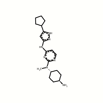 CN(c1nccc(Nc2cc(C3CCCC3)[nH]n2)n1)[C@H]1CC[C@H](N)CC1